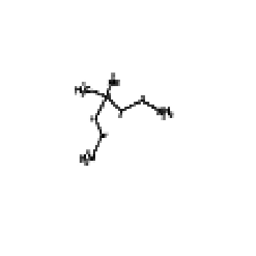 CC(S)(CCN)CCN